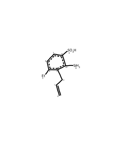 C=CCc1c(CC)ccc(S(=O)(=O)O)c1[SiH3]